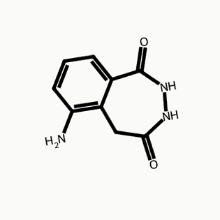 Nc1cccc2c1CC(=O)NNC2=O